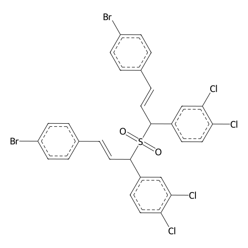 O=S(=O)(C(C=Cc1ccc(Br)cc1)c1ccc(Cl)c(Cl)c1)C(C=Cc1ccc(Br)cc1)c1ccc(Cl)c(Cl)c1